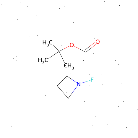 CC(C)(C)OC=O.FN1CCC1